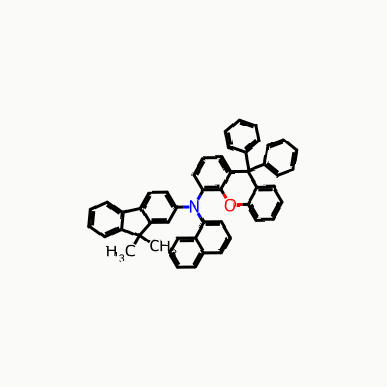 CC1(C)c2ccccc2-c2ccc(N(c3cccc4c3Oc3ccccc3C4(c3ccccc3)c3ccccc3)c3cccc4ccccc34)cc21